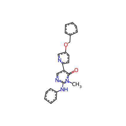 Cn1c(Nc2ccccc2)ncc(-c2ccc(OCc3ccccc3)cn2)c1=O